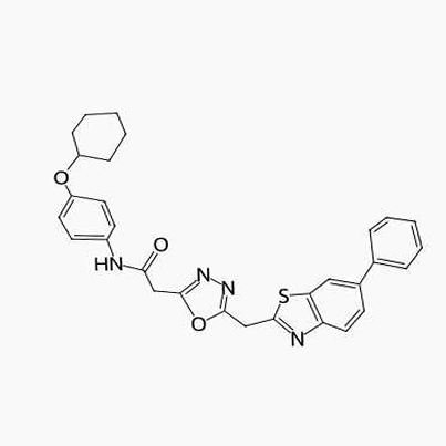 O=C(Cc1nnc(Cc2nc3ccc(-c4ccccc4)cc3s2)o1)Nc1ccc(OC2CCCCC2)cc1